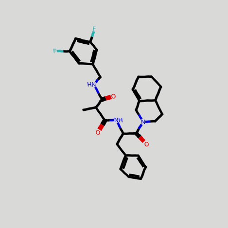 CC(C(=O)NCc1cc(F)cc(F)c1)C(=O)NC(Cc1ccccc1)C(=O)N1CCC2CCCC=C2C1